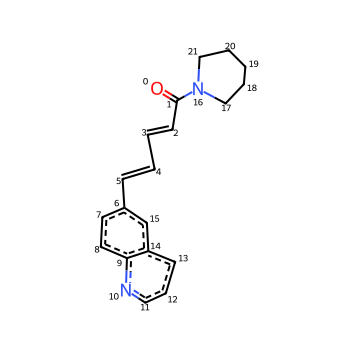 O=C(C=CC=Cc1ccc2ncccc2c1)N1CCCCC1